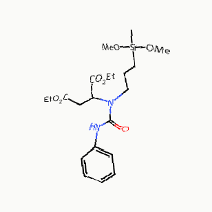 CCOC(=O)CC(C(=O)OCC)N(CCC[Si](C)(OC)OC)C(=O)Nc1ccccc1